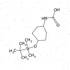 CC(C)(C)[Si](C)(C)OC1CCC(NC(=O)O)CC1